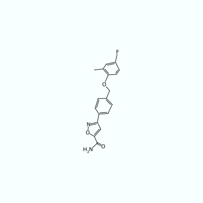 Cc1cc(F)ccc1OCc1ccc(-c2cc(C(N)=O)on2)cc1